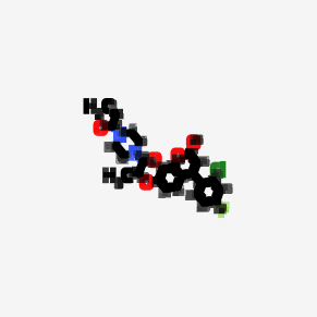 C=CC(=O)N1CCN(C(=O)[C@@H](C)Oc2ccc3c(-c4ccc(F)cc4Cl)cc(=O)oc3c2)CC1